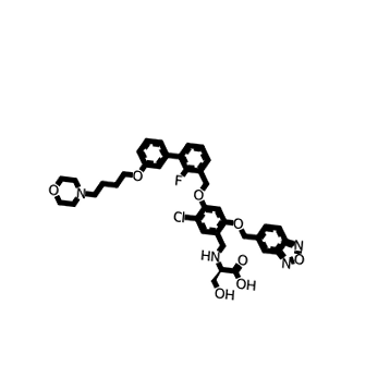 O=C(O)[C@@H](CO)NCc1cc(Cl)c(OCc2cccc(-c3cccc(OCCCCN4CCOCC4)c3)c2F)cc1OCc1ccc2nonc2c1